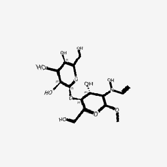 C=CN(O)C1C(OC)OC(CO)[C@@H](O[C@@H]2OC(CO)[C@H](O)C(O)[C@@H]2O)[C@@H]1O